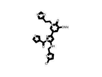 COc1cc(-c2cc(NCc3ccc(Cl)s3)n(C(=O)c3ccsc3)n2)cn(CCc2cnco2)c1=O